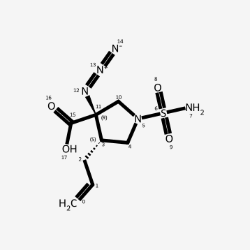 C=CC[C@H]1CN(S(N)(=O)=O)C[C@@]1(N=[N+]=[N-])C(=O)O